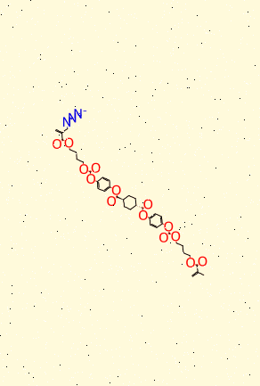 C=C(C)C(=O)OCCCCOC(=O)Oc1ccc(OC(=O)[C@H]2CC[C@H](C(=O)Oc3ccc(OC(=O)OCCCCOC(=O)C(=C)CN=[N+]=[N-])cc3)CC2)cc1